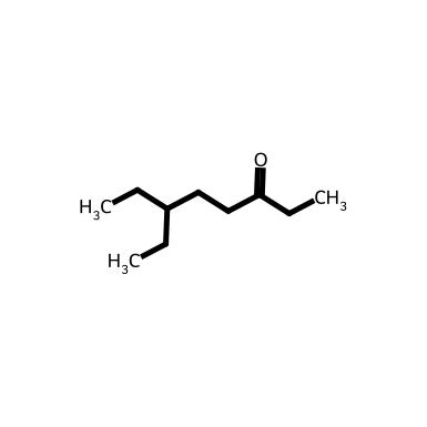 CCC(=O)CCC(CC)CC